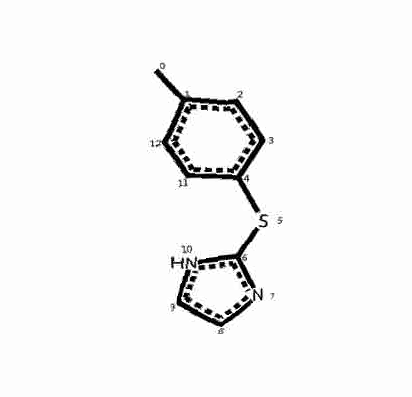 Cc1ccc(Sc2ncc[nH]2)cc1